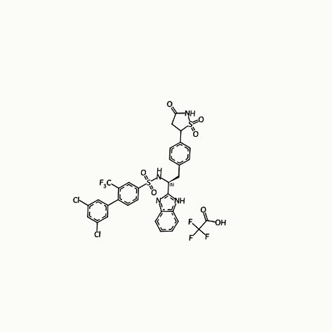 O=C(O)C(F)(F)F.O=C1CC(c2ccc(C[C@H](NS(=O)(=O)c3ccc(-c4cc(Cl)cc(Cl)c4)c(C(F)(F)F)c3)c3nc4ccccc4[nH]3)cc2)S(=O)(=O)N1